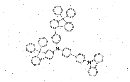 c1ccc(C2(c3ccccc3)c3ccccc3-c3ccc(N(c4ccc(-c5ccc(-n6c7ccccc7c7ccccc76)cc5)cc4)c4ccc(-c5cccc6c5-c5ccccc5C6(c5ccccc5)c5ccccc5)cc4)cc32)cc1